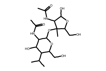 CC(=O)NC1C(OC2(C)C(CO)OC(O)C2NC(C)=O)OC(CO)C(C(C)C)C1O